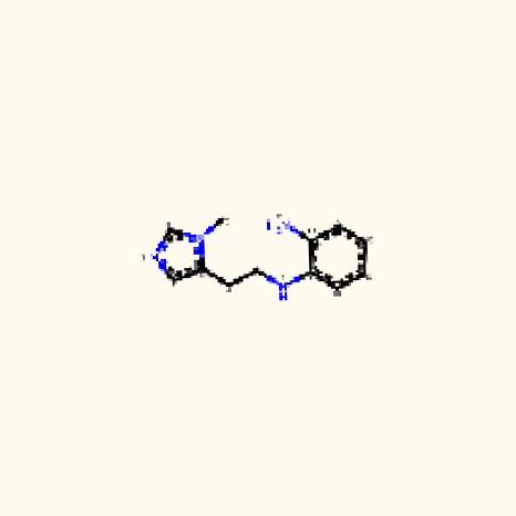 Cn1cncc1CCNc1ccccc1N